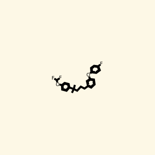 CC(C)(CCCc1cccc(Oc2ccc(F)cc2)c1)c1ccc(OC(F)F)cc1